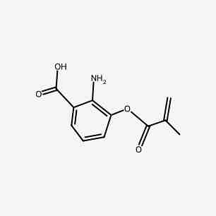 C=C(C)C(=O)Oc1cccc(C(=O)O)c1N